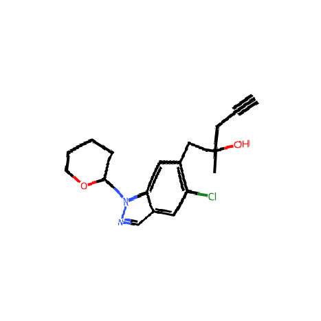 C#CCC(C)(O)Cc1cc2c(cnn2C2CCCCO2)cc1Cl